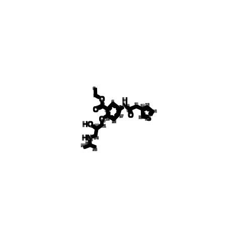 CCOC(=O)c1cc(NC(=O)Cc2ccsc2)ccc1OCC(O)CNC(C)C